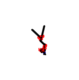 CCCCCCCCCCCCCCCC(=O)OCC(COC(=O)CCCCCCCCCCCCCCC)OC(=O)CC(C)CCCCCCCC(C)C(=O)OCOC(=O)Oc1ccc2c3c1O[C@H]1[C@@]4(OC)CC[C@@]5(C[C@@H]4[C@](C)(O)C(C)(C)C)C(C2)N(CC2CC2)CC[C@]315